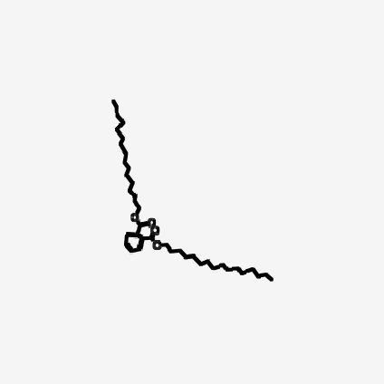 CCCCCCCCCCCCCCCCOC(=O)c1ccccc1C(=O)OCCCCCCCCCCCCCCCC